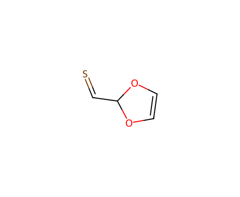 S=CC1OC=CO1